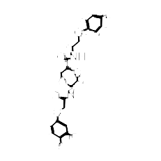 O=C(COc1ccc(Cl)c(F)c1)N[C@H]1CO[C@H](C(=O)NCCOc2ccc(Cl)cc2)CO1